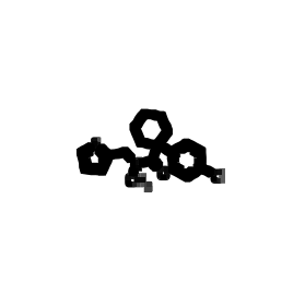 CN(Cc1cccs1)C(=O)C1(c2ccc(Cl)cc2)CCCCC1